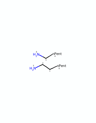 CCCCCCCN.CCCCCCN